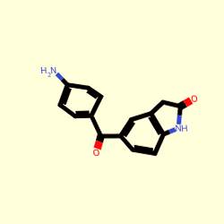 Nc1ccc(C(=O)c2ccc3c(c2)CC(=O)N3)cc1